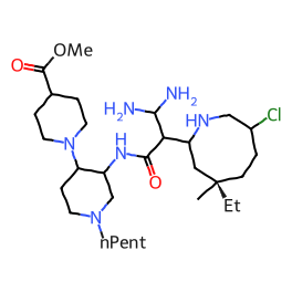 CCCCCN1CCC(N2CCC(C(=O)OC)CC2)C(NC(=O)C(C(N)N)C2C[C@](C)(CC)CCC(Cl)CN2)C1